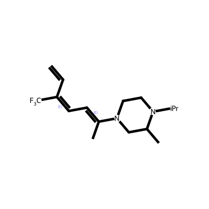 C=C/C(=C\C=C(/C)N1CCN(C(C)C)C(C)C1)C(F)(F)F